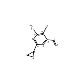 C=Cc1cc(C2CC2)cc(F)c1C